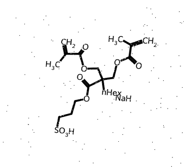 C=C(C)C(=O)OCC(CCCCCC)(COC(=O)C(=C)C)C(=O)OCCCS(=O)(=O)O.[NaH]